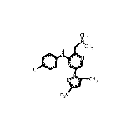 Cc1cc(C)n(-c2cnc(CN(C)C)c(Nc3ccc(Cl)cc3)n2)n1